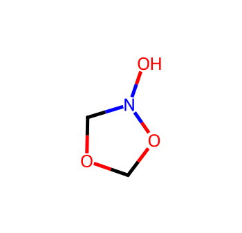 ON1COCO1